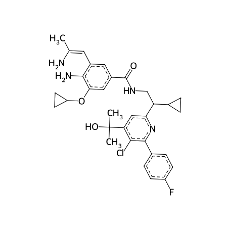 C/C(N)=C/c1cc(C(=O)NCC(c2cc(C(C)(C)O)c(Cl)c(-c3ccc(F)cc3)n2)C2CC2)cc(OC2CC2)c1N